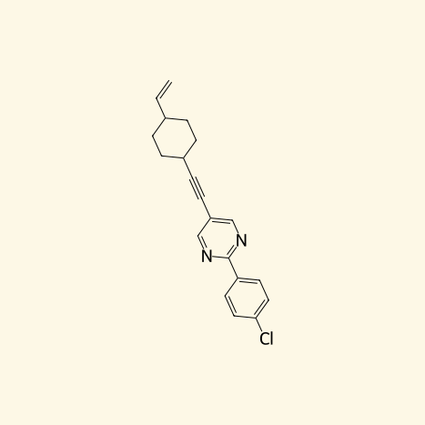 C=CC1CCC(C#Cc2cnc(-c3ccc(Cl)cc3)nc2)CC1